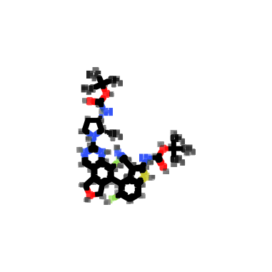 C[C@H]1[C@@H](NC(=O)OC(C)(C)C)CCN1c1ncc2c3c(c(-c4c(F)ccc5sc(NC(=O)OC(C)(C)C)c(C#N)c45)c(F)c2n1)COC3